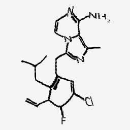 C=CC1C(CC(C)C)=C(Cc2nc(C)c3c(N)nccn23)C=C(Cl)C1F